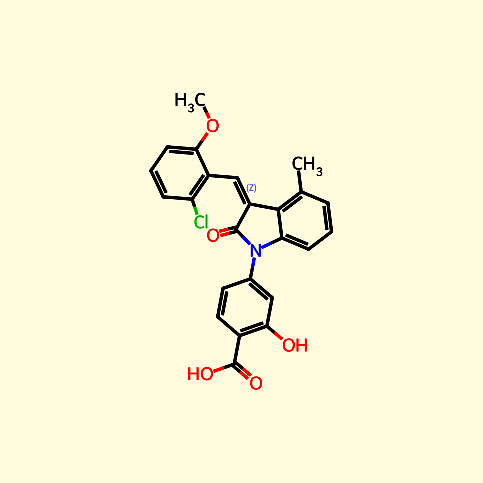 COc1cccc(Cl)c1/C=C1\C(=O)N(c2ccc(C(=O)O)c(O)c2)c2cccc(C)c21